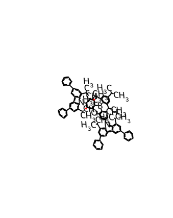 CC(C)c1cc(C(C)C)c(B2c3ccc(-n4c5c(C(C)C)cc(-c6ccccc6)cc5c5cc(-c6ccccc6)cc(C(C)C)c54)cc3Oc3cc(-n4c5c(C(C)C)cc(-c6ccccc6)cc5c5cc(-c6ccccc6)cc(C(C)C)c54)ccc32)c(C(C)C)c1